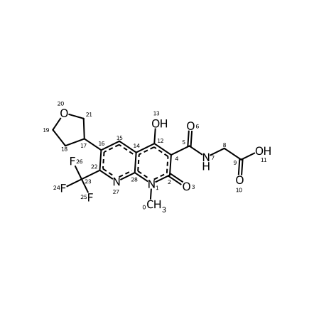 Cn1c(=O)c(C(=O)NCC(=O)O)c(O)c2cc(C3CCOC3)c(C(F)(F)F)nc21